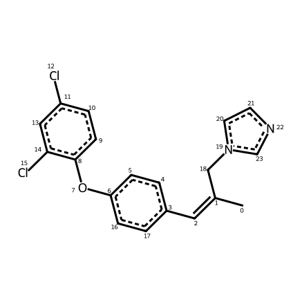 C/C(=C/c1ccc(Oc2ccc(Cl)cc2Cl)cc1)Cn1ccnc1